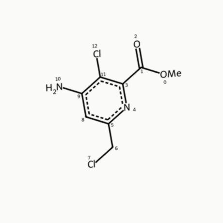 COC(=O)c1nc(CCl)cc(N)c1Cl